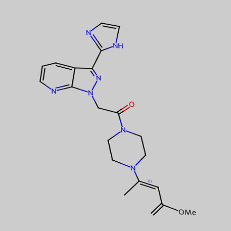 C=C(/C=C(\C)N1CCN(C(=O)Cn2nc(-c3ncc[nH]3)c3cccnc32)CC1)OC